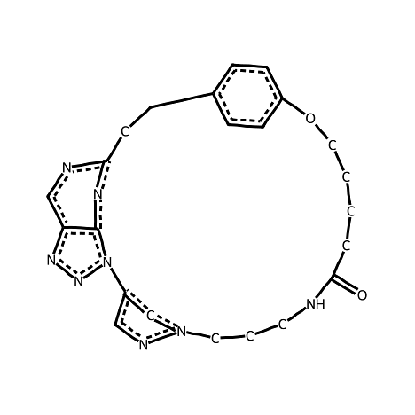 O=C1CCCCOc2ccc(cc2)CCc2ncc3nnn(c3n2)-c2cnn(c2)CCCN1